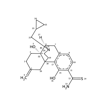 C=C1CC[C@@]2(O)[C@H]3Cc4ccc(C(N)=S)c(O)c4C2(CCN3CC2CC2)C1